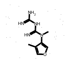 Cc1cocc1N(C)C(=N)NC(=N)N